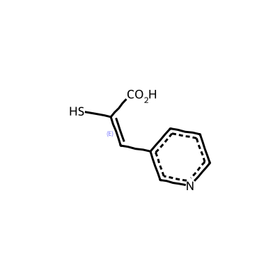 O=C(O)/C(S)=C\c1cccnc1